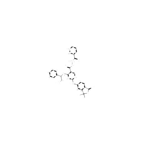 CC1(C)OC(=O)c2ccc(Nc3ncc(C(=O)NNC(=O)c4cccnn4)c(NC(CO)c4ccccc4)n3)cc21